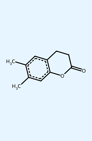 Cc1cc2c(cc1C)OC(=O)CC2